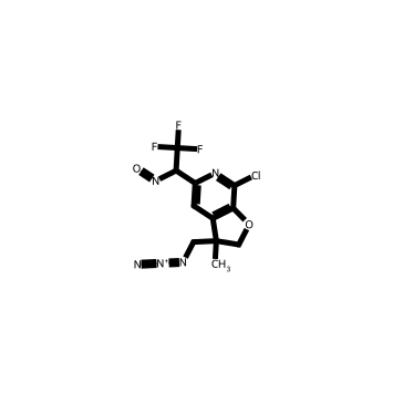 CC1(CN=[N+]=[N-])COc2c1cc(C(N=O)C(F)(F)F)nc2Cl